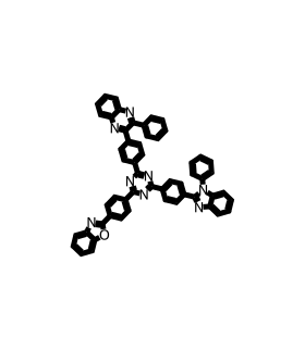 c1ccc(-c2nc3ccccc3nc2-c2ccc(-c3nc(-c4ccc(-c5nc6ccccc6o5)cc4)nc(-c4ccc(-c5nc6ccccc6n5-c5ccccc5)cc4)n3)cc2)cc1